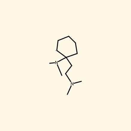 CN(C)CCC1(N(C)C)[CH]CCCC1